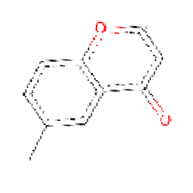 Cc1ccc2o[c]cc(=O)c2c1